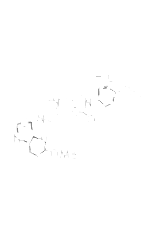 COc1ccc2nccc(N3CCN(CC4CN(c5ccc(C)c(C)c5)C(=O)O4)CC3)c2n1